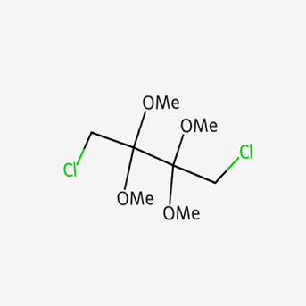 COC(CCl)(OC)C(CCl)(OC)OC